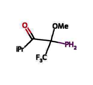 COC(P)(C(=O)C(C)C)C(F)(F)F